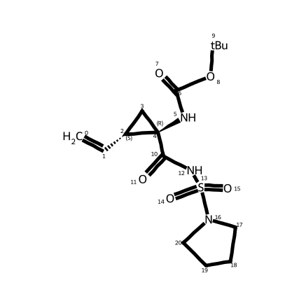 C=C[C@@H]1C[C@]1(NC(=O)OC(C)(C)C)C(=O)NS(=O)(=O)N1CCCC1